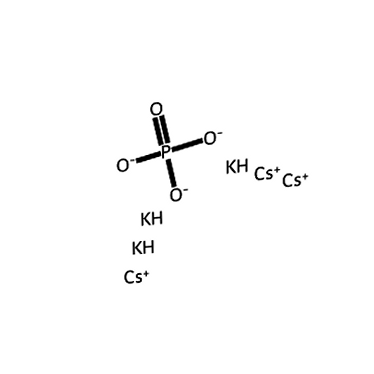 O=P([O-])([O-])[O-].[Cs+].[Cs+].[Cs+].[KH].[KH].[KH]